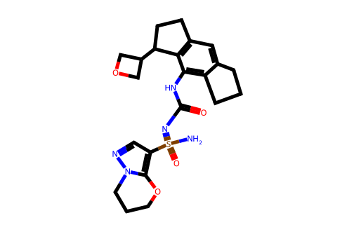 NS(=O)(=NC(=O)Nc1c2c(cc3c1C(C1COC1)CC3)CCC2)c1cnn2c1OCCC2